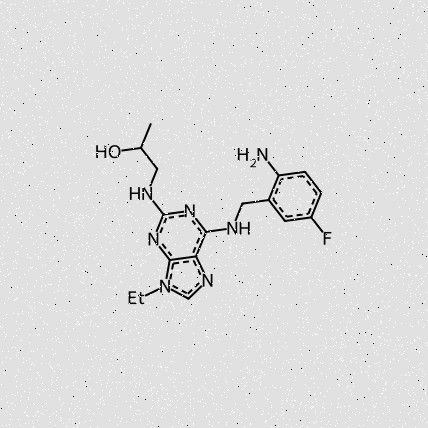 CCn1cnc2c(NCc3cc(F)ccc3N)nc(NCC(C)O)nc21